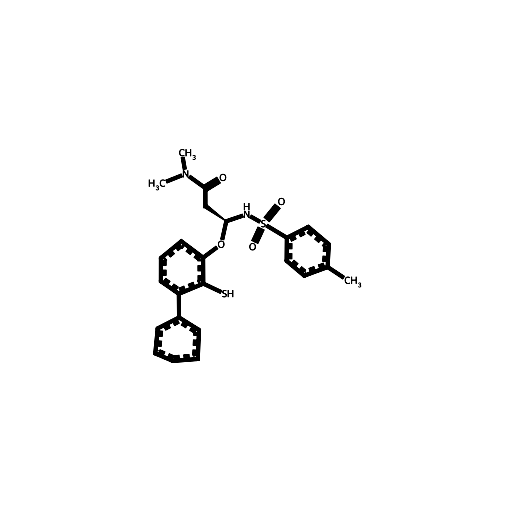 Cc1ccc(S(=O)(=O)N[C@H](CC(=O)N(C)C)Oc2cccc(-c3ccccc3)c2S)cc1